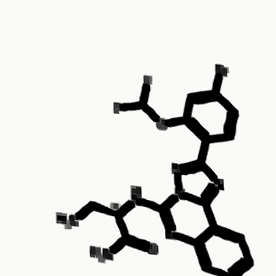 CC[C@@H](Nc1nc2ccccc2c2nc(-c3ccc(Br)cc3OC(F)F)nn12)C(N)=O